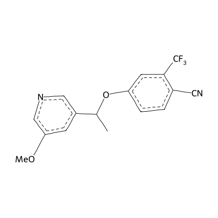 COc1cncc(C(C)Oc2ccc(C#N)c(C(F)(F)F)c2)c1